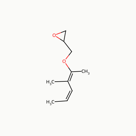 C/C=C\C(C)=C(/C)OCC1CO1